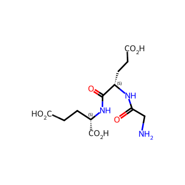 NCC(=O)N[C@@H](CCC(=O)O)C(=O)N[C@@H](CCC(=O)O)C(=O)O